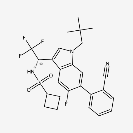 CC(C)(C)Cn1cc([C@H](NS(=O)(=O)C2CCC2)C(F)(F)F)c2cc(F)c(-c3ccccc3C#N)cc21